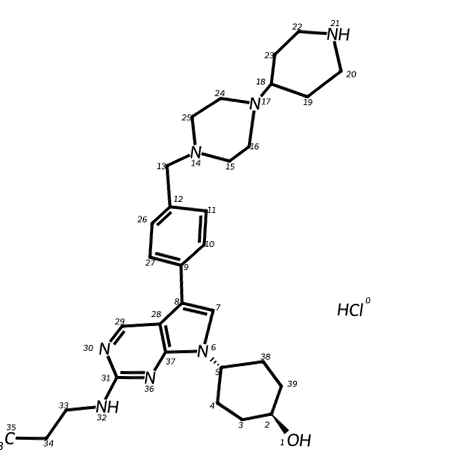 Cl.O[C@H]1CC[C@H](n2cc(-c3ccc(CN4CCN(C5CCNCC5)CC4)cc3)c3cnc(NCCC(F)(F)F)nc32)CC1